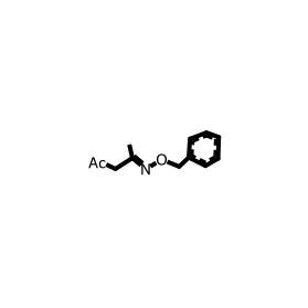 CC(=O)C/C(C)=N/OCc1ccccc1